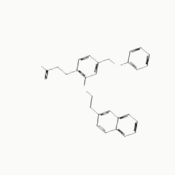 O=C(O)CCc1ccc(COc2ccccc2)cc1OCCc1ccc2ccccc2c1